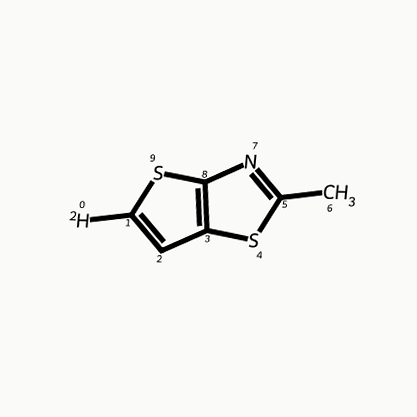 [2H]c1cc2sc(C)nc2s1